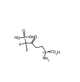 N[C@@H](CCC(=O)C(F)(F)P(=O)(O)O)C(=O)O